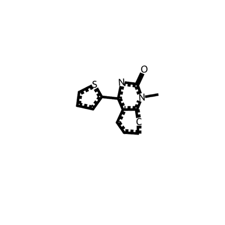 Cn1c(=O)nc(-c2cccs2)c2ccccc21